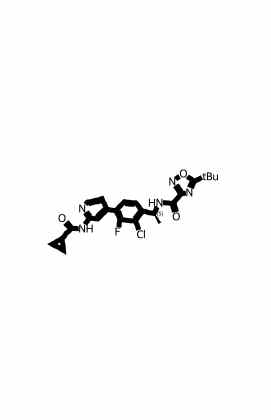 C[C@H](NC(=O)c1noc(C(C)(C)C)n1)c1ccc(-c2ccnc(NC(=O)C3CC3)c2)c(F)c1Cl